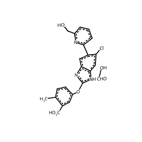 Cc1ccc(Oc2nc3cc(-c4cccc(CO)n4)c(Cl)cc3[nH]2)cc1C(=O)O.O=CO